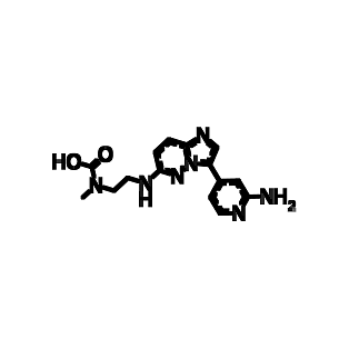 CN(CCNc1ccc2ncc(-c3ccnc(N)c3)n2n1)C(=O)O